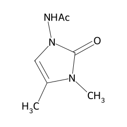 CC(=O)Nn1cc(C)n(C)c1=O